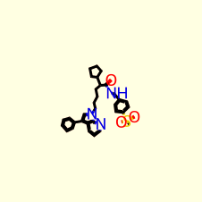 CS(=O)(=O)c1ccc(CNC(=O)C(CCCCn2cc(-c3ccccc3)c3cccnc32)C2CCCC2)cc1